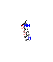 CC(C)NC(=O)C1=CC=C(c2cccnc2)OC1